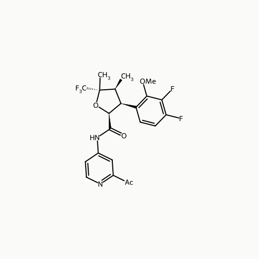 COc1c([C@H]2[C@@H](C(=O)Nc3ccnc(C(C)=O)c3)O[C@](C)(C(F)(F)F)[C@H]2C)ccc(F)c1F